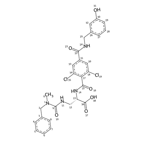 CN(Cc1ccccc1)C(=O)NC[C@H](NC(=O)c1c(Cl)cc(C(=O)NCc2cccc(O)c2)cc1Cl)C(=O)O